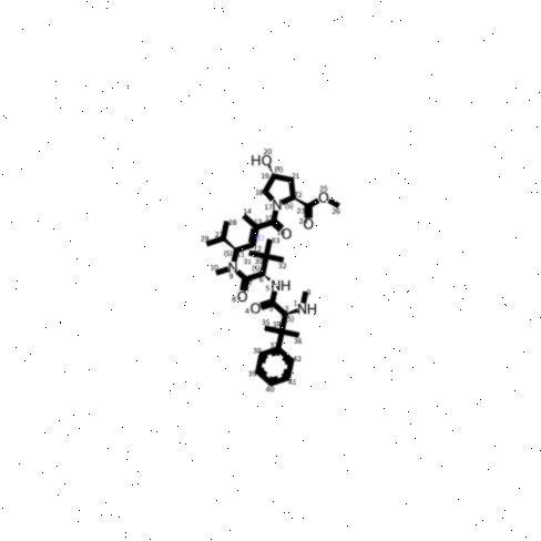 CN[C@H](C(=O)N[C@H](C(=O)N(C)[C@H](/C=C(\C)C(=O)N1C[C@H](O)C[C@H]1C(=O)OC)C(C)C)C(C)(C)C)C(C)(C)c1ccccc1